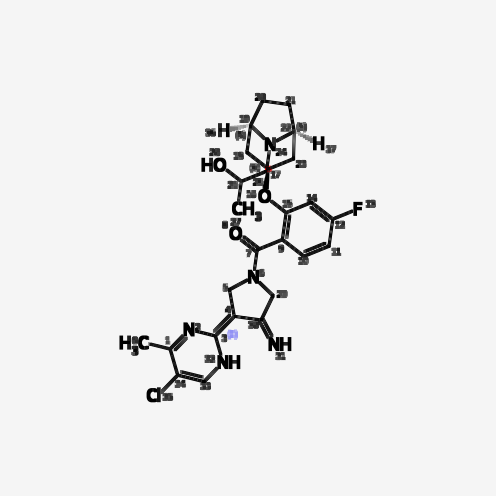 CC1=N/C(=C2\CN(C(=O)c3ccc(F)cc3O[C@H]3C[C@H]4CC[C@@H](C3)N4CC(C)O)CC2=N)NC=C1Cl